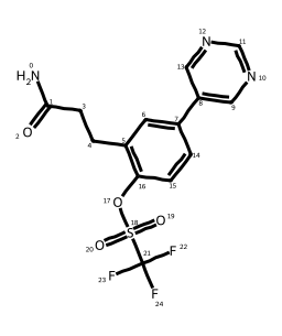 NC(=O)CCc1cc(-c2cncnc2)ccc1OS(=O)(=O)C(F)(F)F